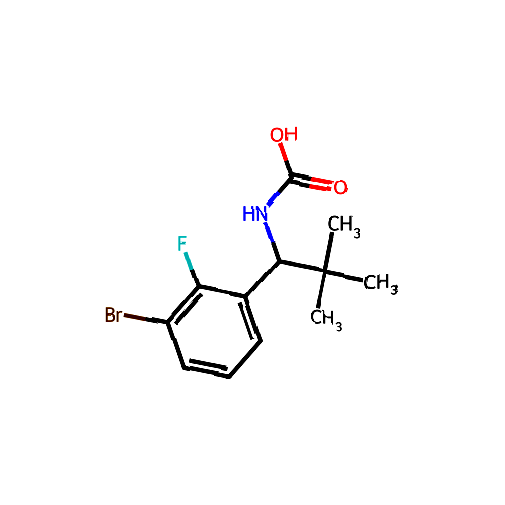 CC(C)(C)C(NC(=O)O)c1cccc(Br)c1F